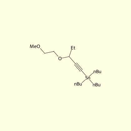 CCC[CH2][Sn]([C]#CC(CC)OCCOC)([CH2]CCC)[CH2]CCC